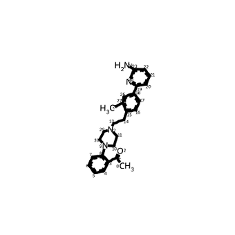 CC(=O)c1ccccc1N1CCN(CCc2ccc(-c3cccc(N)n3)cc2C)CC1